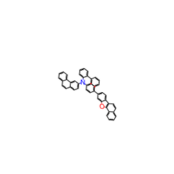 c1ccc(-c2ccccc2N(c2ccc(-c3ccc4c(c3)oc3c5ccccc5ccc43)cc2)c2ccc3ccc4ccccc4c3c2)cc1